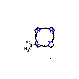 C=C(C(C)=O)C1=CC2=CC3=NC(=CC4=NC(=CC5=NC(=CC1=N2)C=C5)C=C4)C=C3